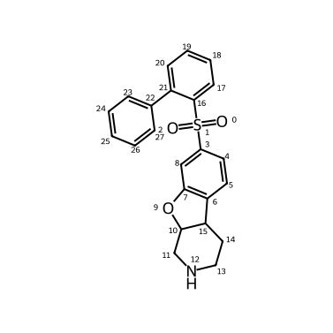 O=S(=O)(c1ccc2c(c1)OC1CNCCC21)c1ccccc1-c1ccccc1